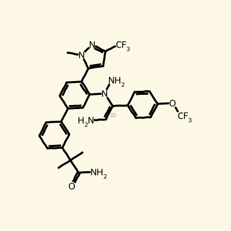 Cn1nc(C(F)(F)F)cc1-c1ccc(-c2cccc(C(C)(C)C(N)=O)c2)cc1N(N)/C(=C\N)c1ccc(OC(F)(F)F)cc1